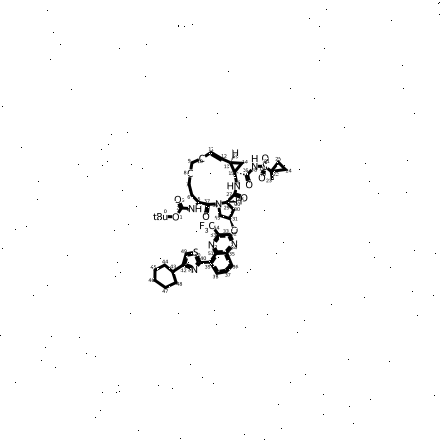 CC(C)(C)OC(=O)N[C@H]1CCCCC/C=C\[C@H]2C[C@@]2(C(=O)NS(=O)(=O)C2(C)CC2)NC(=O)[C@@H]2C[C@@H](Oc3nc4cccc(-c5nc(C6CCCCC6)cs5)c4nc3C(F)(F)F)CN2C1=O